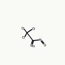 N=C(N=O)C(Cl)(Cl)Cl